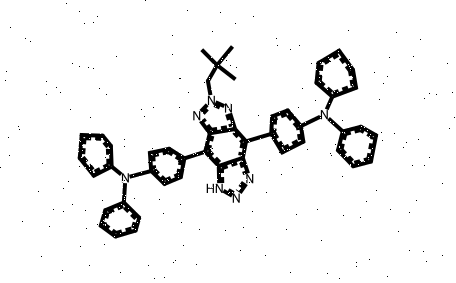 CC(C)(C)Cn1nc2c(-c3ccc(N(c4ccccc4)c4ccccc4)cc3)c3nn[nH]c3c(-c3ccc(N(c4ccccc4)c4ccccc4)cc3)c2n1